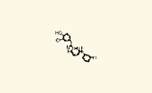 Oc1ccc(Cc2nnc3ccc(Nc4cccc(Cl)c4)nn23)cc1Cl